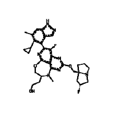 Cc1cc2[nH]ncc2c(-c2nc3c4c(nc(OC[C@@]56CCCN5C[C@H](F)C6)nc4c2F)N(C)[C@@H](CCO)CO3)c1C1CC1